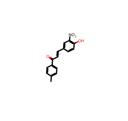 Cc1ccc(C(=O)/C=C/c2ccc(O)c([N+](=O)[O-])c2)cc1